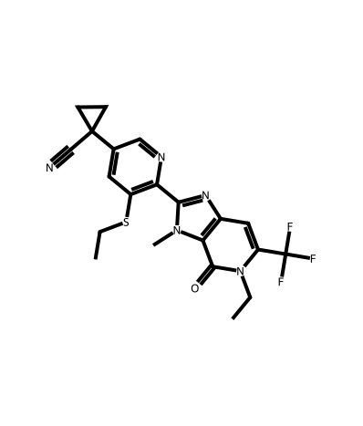 CCSc1cc(C2(C#N)CC2)cnc1-c1nc2cc(C(F)(F)F)n(CC)c(=O)c2n1C